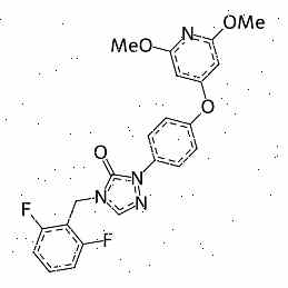 COc1cc(Oc2ccc(-n3ncn(Cc4c(F)cccc4F)c3=O)cc2)cc(OC)n1